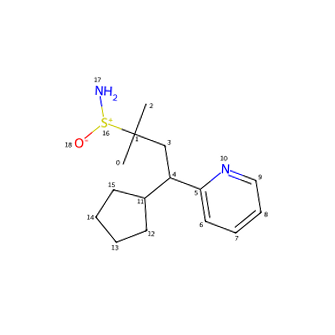 CC(C)(CC(c1ccccn1)C1CCCC1)[S+](N)[O-]